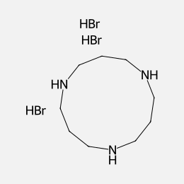 Br.Br.Br.C1CNCCCNCCCNC1